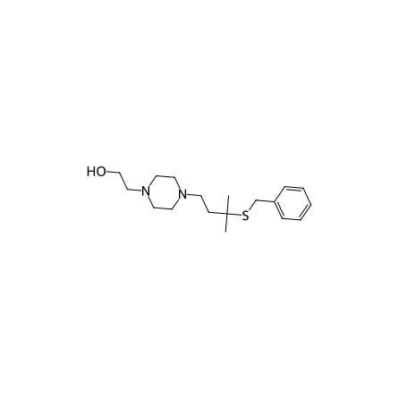 CC(C)(CCN1CCN(CCO)CC1)SCc1ccccc1